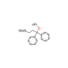 CCCOC(CCNC)(c1ccccc1)c1ccccc1